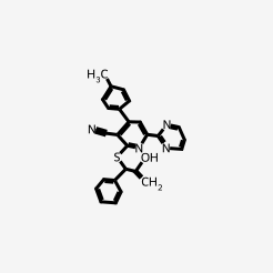 C=C(O)C(Sc1nc(-c2ncccn2)cc(-c2ccc(C)cc2)c1C#N)c1ccccc1